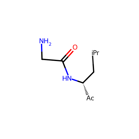 CC(=O)[C@@H](CC(C)C)NC(=O)CN